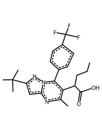 CCCC(C(=O)O)c1c(C)nc2cc(C(C)(C)C)nn2c1-c1ccc(C(F)(F)F)cc1